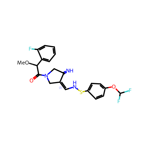 COC(C(=O)N1CC(=N)/C(=C\NSc2ccc(OC(F)F)cc2)C1)c1ccccc1F